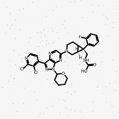 O=C(O)NC[C@]1(c2ccccc2F)[C@@H]2CCN(c3cnc4c(-c5ccnc(Cl)c5Cl)nn(C5CCCCO5)c4n3)C[C@@H]21